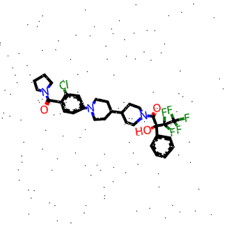 O=C(c1ccc(N2CCC(C3CCN(C(=O)C(O)(c4ccccc4)C(F)(F)C(F)(F)F)CC3)CC2)cc1Cl)N1CCCC1